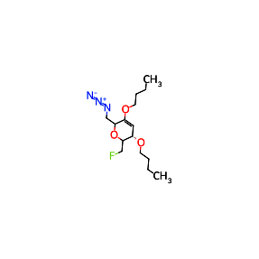 CCCCOC1=C[C@H](OCCCC)C(CF)OC1CN=[N+]=[N-]